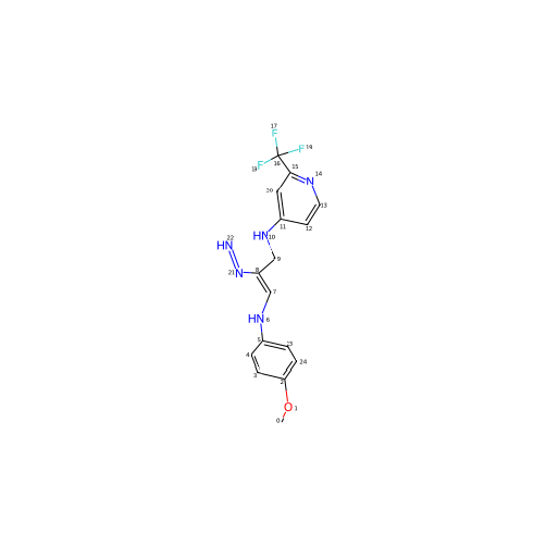 COc1ccc(N/C=C(/CNc2ccnc(C(F)(F)F)c2)N=N)cc1